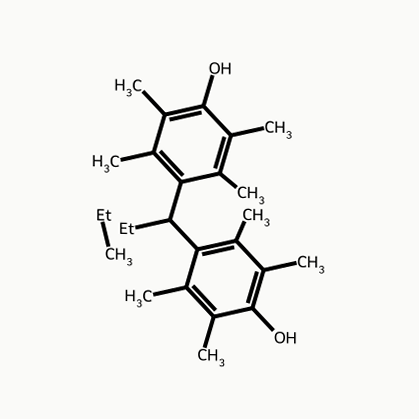 CCC.CCC(c1c(C)c(C)c(O)c(C)c1C)c1c(C)c(C)c(O)c(C)c1C